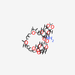 C=C1C[C@@H]2CC[C@@]34CC5O[C@H]6[C@@H](O3)[C@H]3OC(CC[C@@H]3O[C@H]6C5O4)CC(=O)O[C@@H]3[C@@H](N)[C@@H]4O[C@@H]5COC(C)(C)O[C@@H]5C[C@@H]4O[C@H]3CC3OC(CCC1O2)C[C@@H](C)C3=C